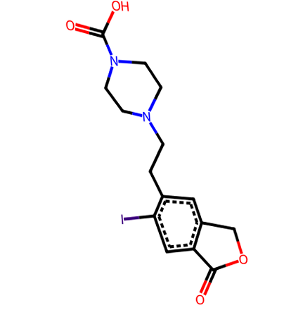 O=C1OCc2cc(CCN3CCN(C(=O)O)CC3)c(I)cc21